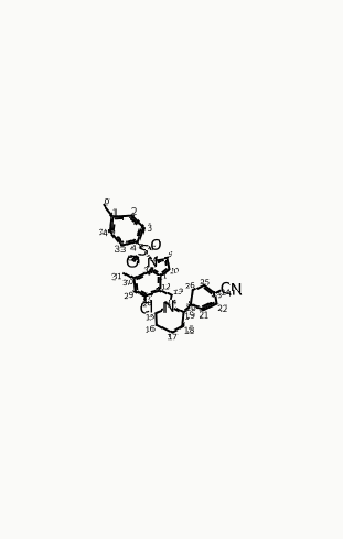 Cc1ccc(S(=O)(=O)n2ccc3c(CN4CCCCC4C4C=CC(C#N)=CC4)c(Cl)cc(C)c32)cc1